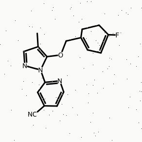 Cc1cnn(-c2cc(C#N)ccn2)c1OCC1=CC=C(F)CC1